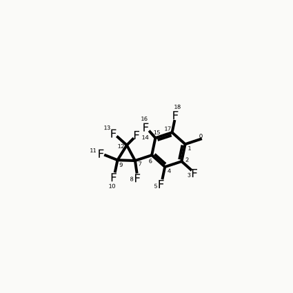 Cc1c(F)c(F)c(C2(F)C(F)(F)C2(F)F)c(F)c1F